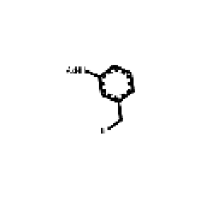 CC(=O)Nc1cccc(CBr)c1